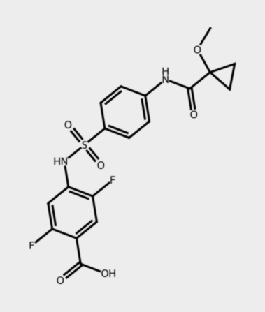 COC1(C(=O)Nc2ccc(S(=O)(=O)Nc3cc(F)c(C(=O)O)cc3F)cc2)CC1